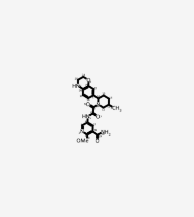 COc1ncc(NC(=O)C(=O)N2CC(C)CCC2c2ccc3c(c2)OCCN3)cc1C(N)=O